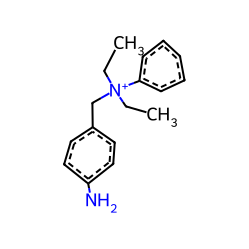 CC[N+](CC)(Cc1ccc(N)cc1)c1ccccc1